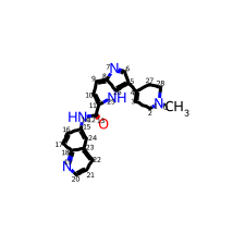 CN1CC=C(c2cnc3ccc(C(=O)Nc4ccc5ncccc5c4)[nH]c2-3)CC1